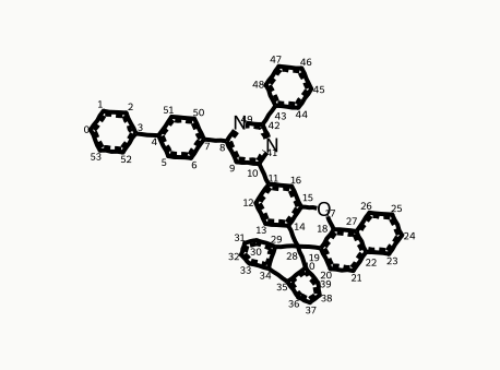 c1ccc(-c2ccc(-c3cc(-c4ccc5c(c4)Oc4c(ccc6ccccc46)C54c5ccccc5-c5ccccc54)nc(-c4ccccc4)n3)cc2)cc1